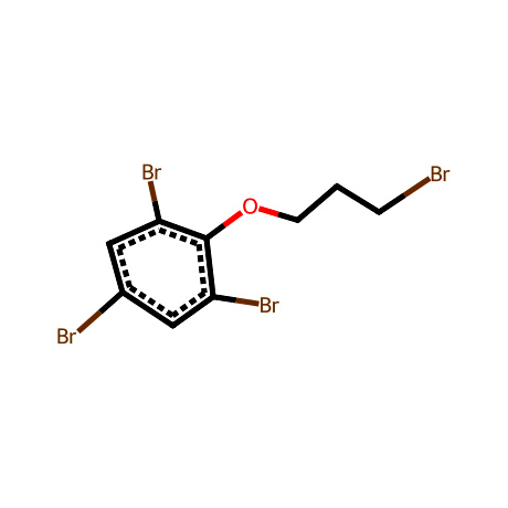 BrCCCOc1c(Br)cc(Br)cc1Br